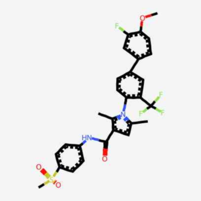 COc1ccc(-c2ccc(-n3c(C)cc(C(=O)Nc4ccc(S(C)(=O)=O)cc4)c3C)c(C(F)(F)F)c2)cc1F